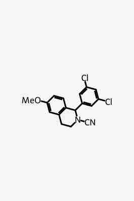 COc1ccc2c(c1)CCN(C#N)C2c1cc(Cl)cc(Cl)c1